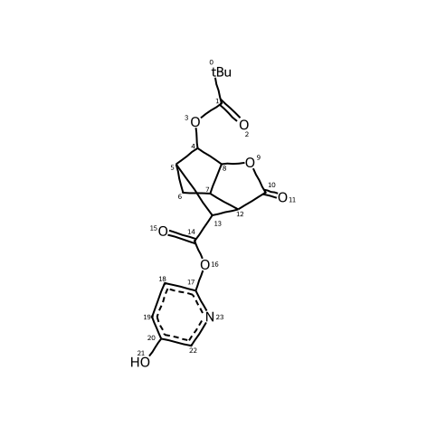 CC(C)(C)C(=O)OC1C2CC3C1OC(=O)C3C2C(=O)Oc1ccc(O)cn1